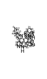 CN1CCN(c2nc(-c3cccc(NS(=O)(=O)c4c(F)cccc4F)c3F)c(-c3ccnc(NC4CC5(C4)CS(=O)(=O)C5)n3)s2)C(C)(C)C1